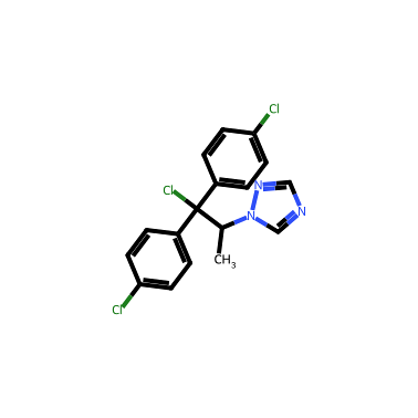 CC(n1cncn1)C(Cl)(c1ccc(Cl)cc1)c1ccc(Cl)cc1